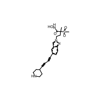 CC(CCn1cc2cc(C#CC#CC3CCNCC3)ccc2n1)(C(=O)NO)S(C)(=O)=O